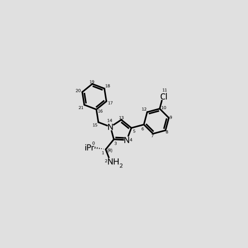 CC(C)[C@@H](N)c1nc(-c2cccc(Cl)c2)cn1Cc1ccccc1